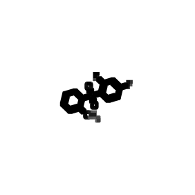 CC1=CC=CCC1S(=O)(=O)c1ccc(F)cc1F